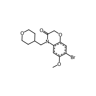 COc1cc2c(cc1Br)OCC(=O)N2CC1CCOCC1